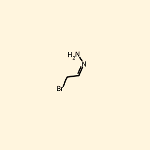 N/N=C\CBr